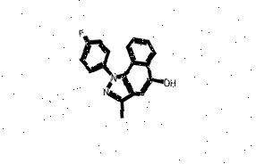 Cc1nn(-c2ccc(F)cc2)c2c1cc(O)c1ccccc12